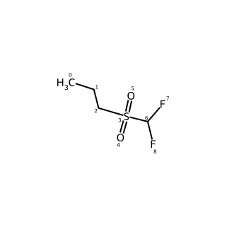 CCCS(=O)(=O)C(F)F